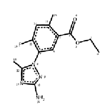 CCOC(=O)c1cc(-n2nc(N)nc2C)c(F)cc1C